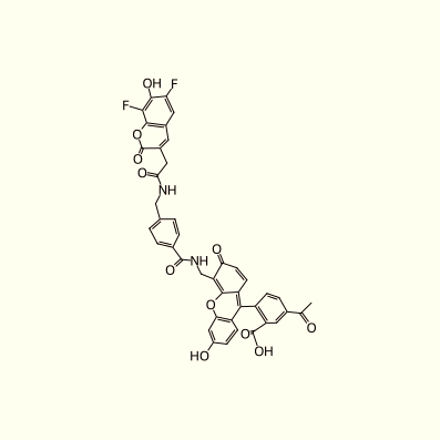 CC(=O)c1ccc(-c2c3ccc(=O)c(CNC(=O)c4ccc(CNC(=O)Cc5cc6cc(F)c(O)c(F)c6oc5=O)cc4)c-3oc3cc(O)ccc23)c(C(=O)O)c1